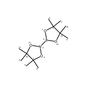 CC1(C)OB(N2OC(C)(C)C(C)(C)O2)OC1(C)C